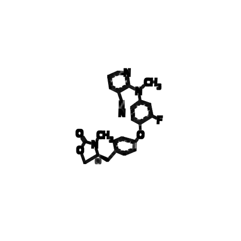 CN(c1ccc(Oc2ccc(C[C@H]3COC(=O)N3C)cc2)c(F)c1)c1ncccc1C#N